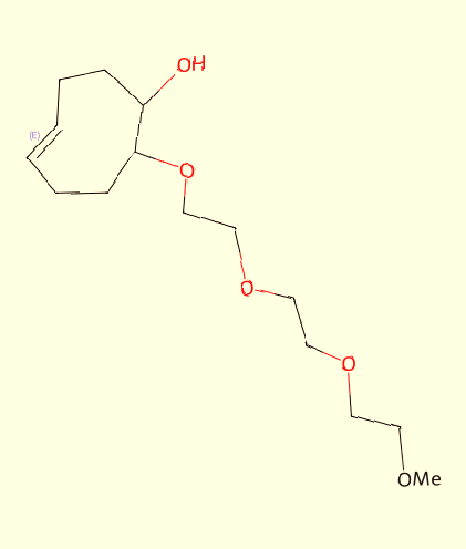 COCCOCCOCCOC1CC/C=C/CCC1O